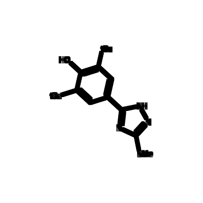 CSc1n[nH]c(-c2cc(C(C)(C)C)c(O)c(C(C)(C)C)c2)n1